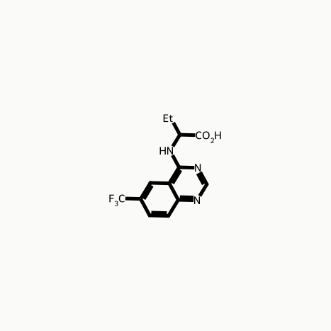 CCC(Nc1ncnc2ccc(C(F)(F)F)cc12)C(=O)O